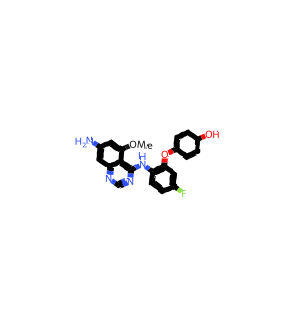 COc1cc(N)cc2ncnc(Nc3ccc(F)cc3OC3CCC(O)CC3)c12